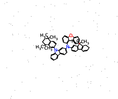 CC1(C)CCC(C)(C)c2cc(-n3c4ccccc4c4ccc(N(c5ccc6c(c5)C(C)(C)C5=C6C=CCC5)c5cccc6oc7ccccc7c56)cc43)ccc21